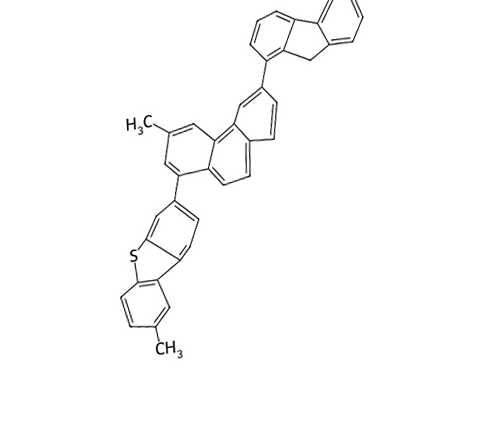 Cc1ccc2sc3cc(-c4cc(C)cc5c4ccc4ccc(-c6cccc7c6Cc6ccccc6-7)cc45)ccc3c2c1